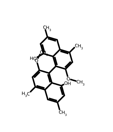 COc1cc(C)c2cc(C)cc(O)c2c1-c1c(OC)cc(C)c2cc(C)cc(O)c12